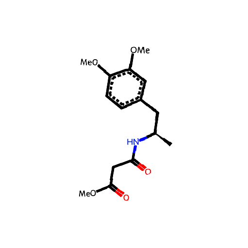 COC(=O)CC(=O)N[C@H](C)Cc1ccc(OC)c(OC)c1